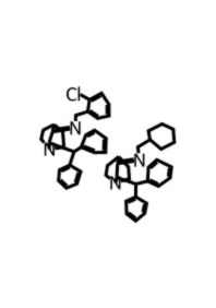 Clc1ccccc1CN=C1C2CCN(CC2)C1C(c1ccccc1)c1ccccc1.c1ccc(C(c2ccccc2)C2C(=NCC3CCCCC3)C3CCN2CC3)cc1